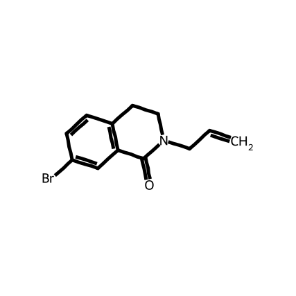 C=CCN1CCc2ccc(Br)cc2C1=O